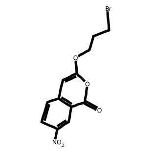 O=c1oc(OCCCBr)cc2ccc([N+](=O)[O-])cc12